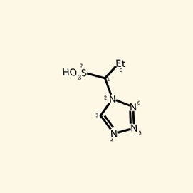 CCC(n1[c]nnn1)S(=O)(=O)O